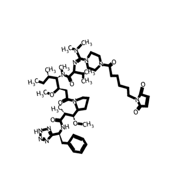 CC[C@H](C)[C@@H]([C@@H](CC(=O)N1CCCC1[C@H](OC)[C@@H](C)C(=O)N[C@@H](Cc1ccccc1)c1nn[nH]n1)OC)N(C)C(=O)C(N=C(N(C)C)N1CCN(C(=O)CCCCCN2C(=O)C=CC2=O)CC1)C(C)C